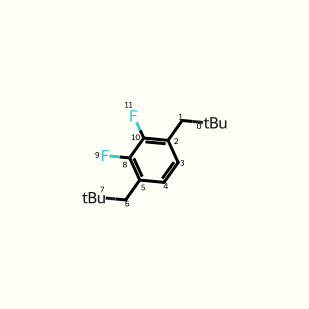 CC(C)(C)Cc1ccc(CC(C)(C)C)c(F)c1F